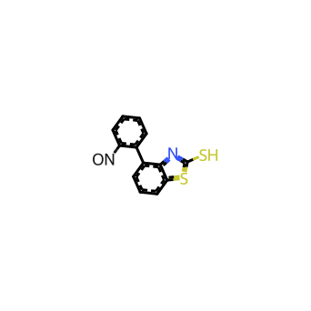 O=Nc1ccccc1-c1cccc2sc(S)nc12